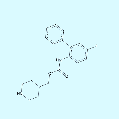 O=C(Nc1ccc(F)cc1-c1ccccc1)OCC1CCNCC1